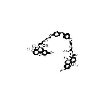 CC(C)c1ccc2c(c1)CCC1C(C)(C(=O)OCC(O)COCCOc3ccc(Cc4ccc(OCCOCC(O)COC(=O)C5(C)CCCC6(C)c7ccc(C(C)C)cc7CCC56)cc4)cc3)CCCC21C